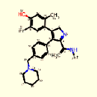 C=C(NCC)C1=NCC(c2cc(C(C)C)c(O)cc2C)=C1c1ccc(CN2CCCCC2)cc1